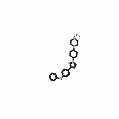 CN1CCN(C2CCC(n3ccc(-c4ccc(Oc5ccccc5)cc4)n3)CC2)CC1